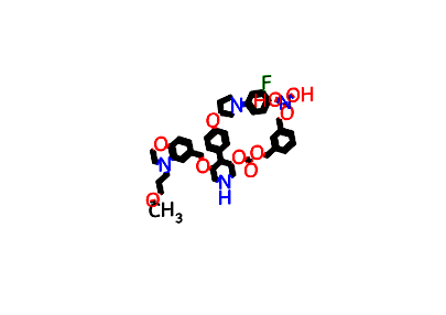 COCCCN1CCOc2ccc(COC3CNCC(OC(=O)OCc4cccc(CON(O)O)c4)C3c3ccc(OC4CCN(c5cccc(F)c5)C4)cc3)cc21